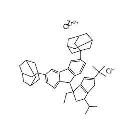 CCC1(C2c3ccc(C45CC6CC(CC(C6)C4)C5)cc3-c3cc(C45CC6CC(CC(C6)C4)C5)ccc32)CC(C(C)C)C2=C1C=C(C(C)(C)C)C2.[Cl-].[Cl-].[Zr+2]